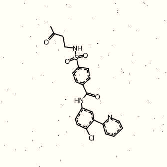 CC(=O)CCNS(=O)(=O)c1ccc(C(=O)Nc2ccc(Cl)c(-c3ccccn3)c2)cc1